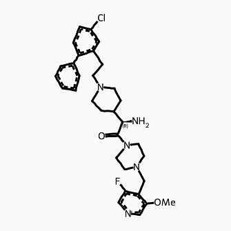 COc1cncc(F)c1CN1CCN(C(=O)[C@H](N)C2CCN(CCc3cc(Cl)ccc3-c3ccccc3)CC2)CC1